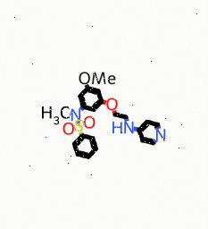 COc1cc(OCCNc2ccncc2)cc(N(C)S(=O)(=O)c2ccccc2)c1